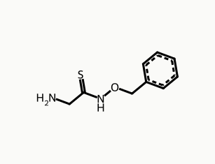 NCC(=S)NOCc1ccccc1